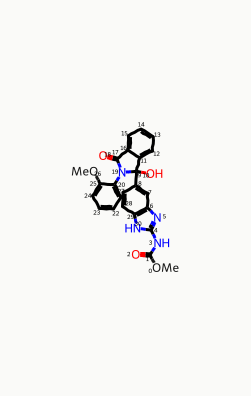 COC(=O)Nc1nc2cc(C3(O)c4ccccc4C(=O)N3c3ccccc3OC)ccc2[nH]1